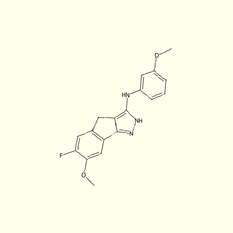 COc1cccc(Nc2[nH]nc3c2Cc2cc(F)c(OC)cc2-3)c1